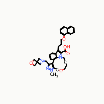 Cn1nc(CN2CC3(COC3)C2)c2c1COCCCCn1c(C(=O)O)c(CCCOc3cccc4ccccc34)c3cccc-2c31